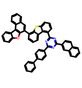 c1ccc(-c2ccc(-c3nc(-c4ccc5ccccc5c4)nc(-c4cccc5sc6c(-c7cc8ccccc8c8c7oc7ccccc78)cccc6c45)n3)cc2)cc1